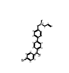 C=CCN(C)Cc1ccc(-c2ccc(C(F)c3ccc(Br)cc3)cc2)cc1